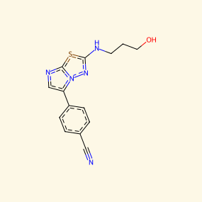 N#Cc1ccc(-c2cnc3sc(NCCCO)nn23)cc1